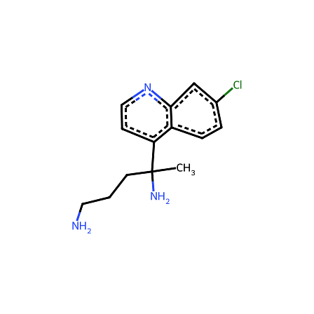 CC(N)(CCCN)c1ccnc2cc(Cl)ccc12